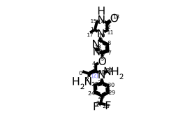 C/C(N)=C(\COc1ccc(N2CC(=O)NCC2C)nn1)N(N)c1ccc(C(F)F)cc1